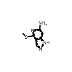 CSc1nc(N)cc2[nH]ncc12